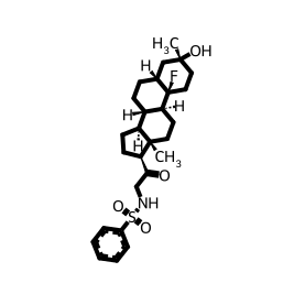 C[C@@]1(O)CC[C@@]2(F)[C@H](CC[C@H]3[C@@H]4CC[C@H](C(=O)CNS(=O)(=O)c5ccccc5)[C@@]4(C)CC[C@@H]32)C1